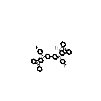 C[C@]12CCC(N(C3=CCC(c4ccc(N(c5c#cc(F)cc5)c5ccc6c(c5)c5ccccc5n6C5=CC=CCC5)cc4)C=C3)c3ccc(F)cc3)=CC1c1ccccc1N2c1ccccc1